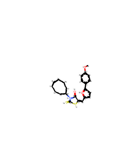 COc1ccc(-c2ccc(/C=C3/SC(=S)N(C4CCCCCCC4)C3=O)o2)cc1